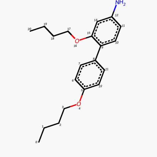 CCCCOc1ccc(-c2ccc(N)cc2OCCCC)cc1